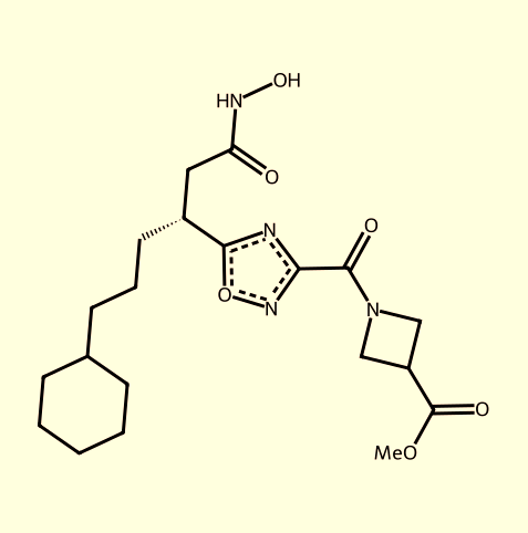 COC(=O)C1CN(C(=O)c2noc([C@H](CCCC3CCCCC3)CC(=O)NO)n2)C1